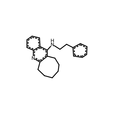 c1ccc(CCNc2c3c(nc4ccccc24)CCCCCC3)cc1